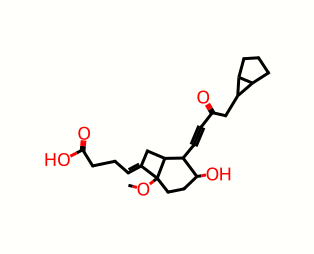 COC12CCC(O)C(C#CC(=O)CC3C4CCCC43)C1CC2=CCCC(=O)O